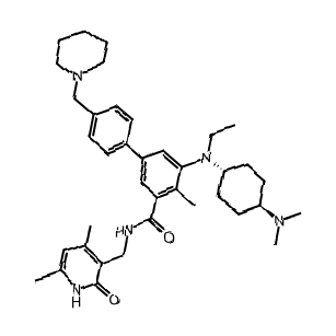 CCN(c1cc(-c2ccc(CN3CCCCC3)cc2)cc(C(=O)NCc2c(C)cc(C)[nH]c2=O)c1C)[C@H]1CC[C@H](N(C)C)CC1